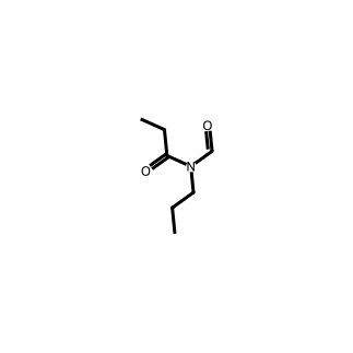 CCCN(C=O)C(=O)CC